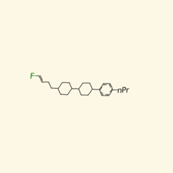 CCCc1ccc(C2CCC(C3CCC(CCC=CF)CC3)CC2)cc1